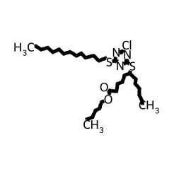 CCCCCCCCCCCCCCSc1nc(Cl)nc(SC(CCCCCC)CCCCC(=O)OCCCCCC)n1